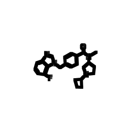 CN(C(=O)c1ccc(Cn2cnc3cccc(F)c32)cc1)C1CCN(C2CCC2)C1